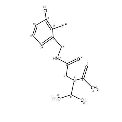 CC(=O)N(CC(=O)NCc1cccc(Cl)c1F)C(C)C